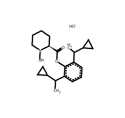 CCCN1CCCC[C@H]1C(=O)Oc1c(C(C)C2CC2)cccc1C(C)C1CC1.Cl